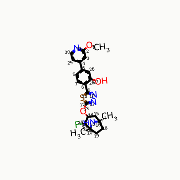 COc1cc(-c2ccc(-c3nnc(O[C@H]4C[C@]5(C)CC[C@@](C)(N5)[C@H]4F)s3)c(O)c2)ccn1